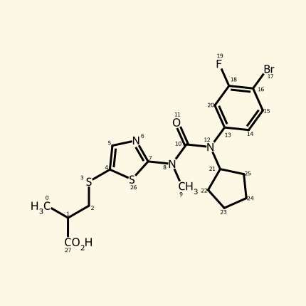 CC(CSc1cnc(N(C)C(=O)N(c2ccc(Br)c(F)c2)C2CCCC2)s1)C(=O)O